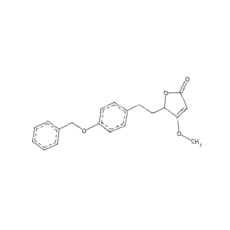 COC1=CC(=O)OC1CCc1ccc(OCc2ccccc2)cc1